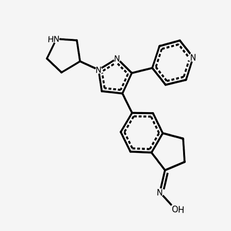 ON=C1CCc2cc(-c3cn(C4CCNC4)nc3-c3ccncc3)ccc21